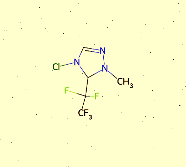 CN1N=CN(Cl)C1C(F)(F)C(F)(F)F